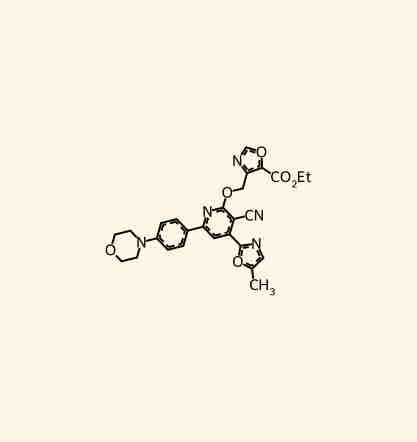 CCOC(=O)c1ocnc1COc1nc(-c2ccc(N3CCOCC3)cc2)cc(-c2ncc(C)o2)c1C#N